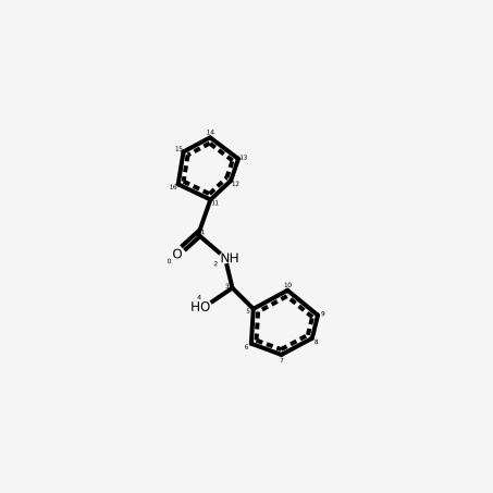 O=C(NC(O)c1ccccc1)c1ccccc1